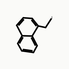 ICc1cccc2ccccc12